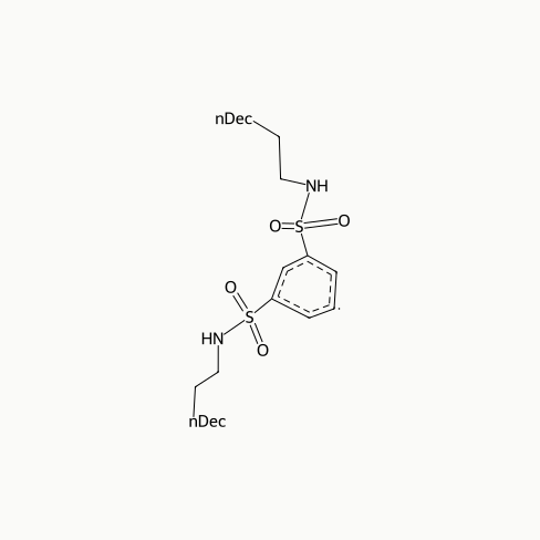 CCCCCCCCCCCCNS(=O)(=O)c1c[c]cc(S(=O)(=O)NCCCCCCCCCCCC)c1